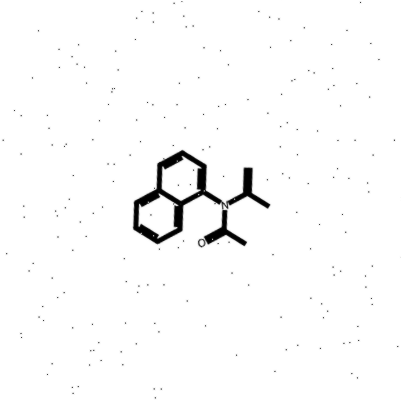 C=C(C)N(C(C)=O)c1cccc2ccccc12